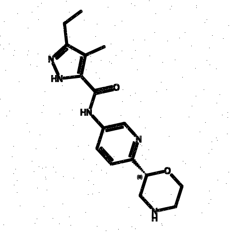 CCc1n[nH]c(C(=O)Nc2ccc([C@H]3CNCCO3)nc2)c1C